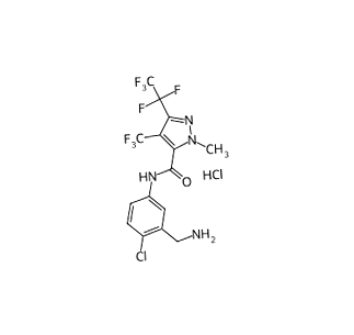 Cl.Cn1nc(C(F)(F)C(F)(F)F)c(C(F)(F)F)c1C(=O)Nc1ccc(Cl)c(CN)c1